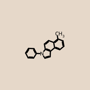 Cc1cccc2c1ccc1c2ccn1-c1ccccc1